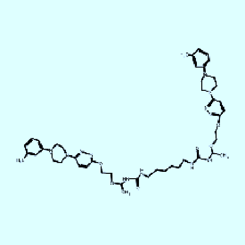 Cc1cccc(N2CCN(c3ccc(OCCOC(C)NC(=O)NCCCCCCNC(=O)NC(C)OCCOc4ccc(N5CCN(c6cccc(C)c6)CC5)nn4)nn3)CC2)c1